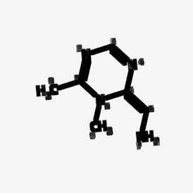 CC1=NC=N/C(=C/N)N1C